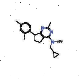 CCCN(CC1CC1)c1nc(C)nc2c1CCC2c1ccc(C)cc1C